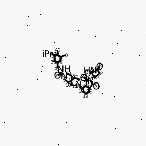 Cc1cc(CNC(=O)N2CCC3(CC2)CCN(c2cccc4c2C(=O)N(C2CCC(=O)NC2=O)C4=O)CC3)cc(C(C)C)c1C